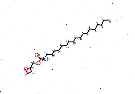 CCCCCCCCCCCCCCCCCCNC(=O)OCC1CCO1